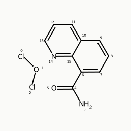 ClOCl.NC(=O)c1cccc2cccnc12